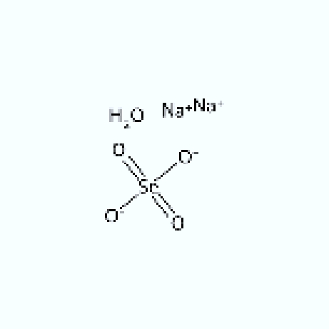 O.O=[Se](=O)([O-])[O-].[Na+].[Na+]